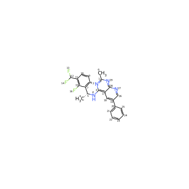 Cc1nc(N[C@H](C)c2cccc(C(F)F)c2F)c2cc(-c3ccccc3)cnc2n1